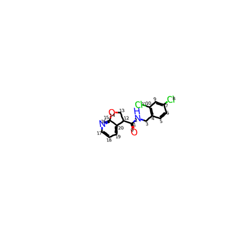 O=C(NCc1ccc(Cl)cc1Cl)C1COc2ncccc21